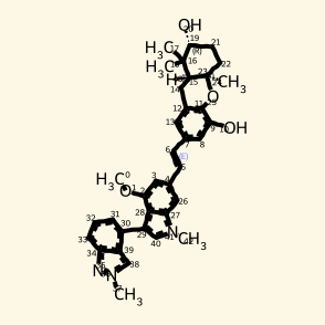 COc1cc(/C=C/c2cc(O)c3c(c2)C[C@@H]2C(C)(C)[C@H](O)CC[C@@]2(C)O3)cc2c1c(-c1cccc3nn(C)cc13)cn2C